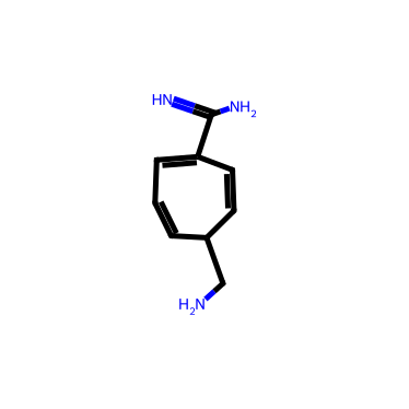 N=C(N)C1=CC=CC(CN)C=C1